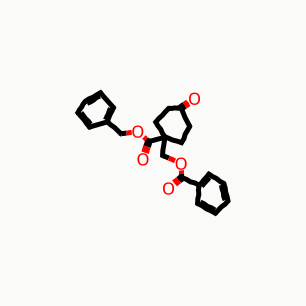 O=C1CCC(COC(=O)c2ccccc2)(C(=O)OCc2ccccc2)CC1